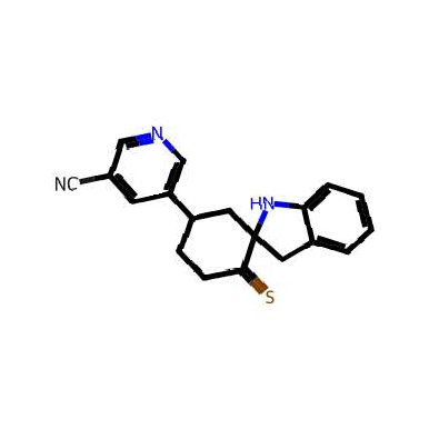 N#Cc1cncc(C2CCC(=S)C3(Cc4ccccc4N3)C2)c1